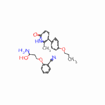 CCCOc1ccc(-c2ccc(=O)[nH]c2C)cc1.N#Cc1ccccc1OCCC(N)O